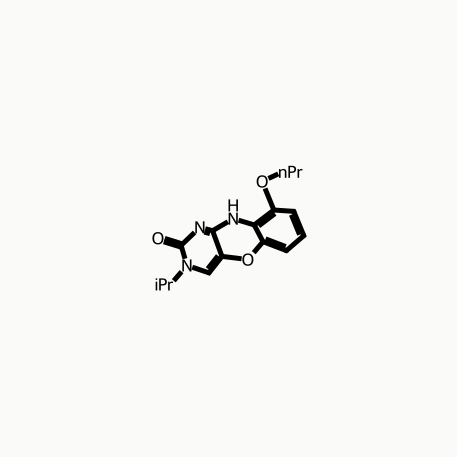 CCCOc1cccc2c1Nc1nc(=O)n(C(C)C)cc1O2